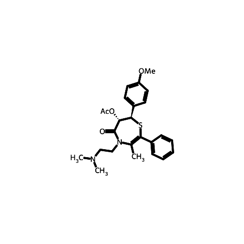 COc1ccc([C@H]2SC(c3ccccc3)=C(C)N(CCN(C)C)C(=O)[C@@H]2OC(C)=O)cc1